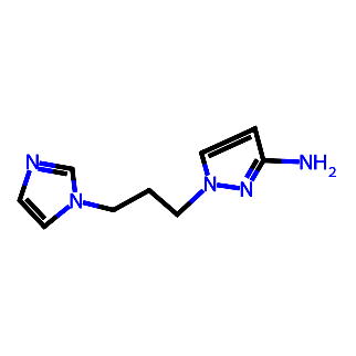 Nc1ccn(CCCn2ccnc2)n1